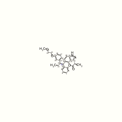 C=CC(=O)Oc1ccccc1/C(=C(\CC)c1cccc(OCCOC)c1)c1ccc2[nH]ncc2c1